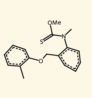 COC(=S)N(C)c1ccccc1COc1ccccc1C